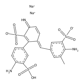 Cc1cc(C=C2C=CC(=N)C(S(=O)(=O)[O-])=C2c2ccc(N)c(S(=O)(=O)O)c2)cc(S(=O)(=O)[O-])c1N.[Na+].[Na+]